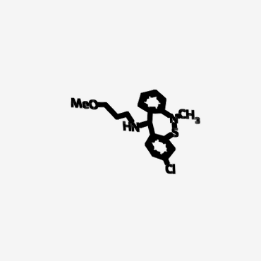 COCCCNC1c2ccc(Cl)cc2SN(C)c2ccccc21